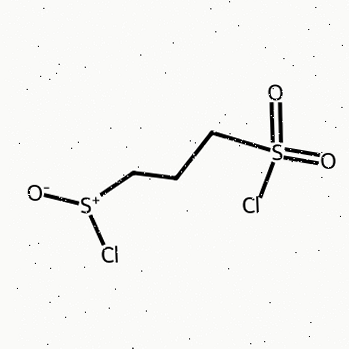 O=S(=O)(Cl)CCC[S+]([O-])Cl